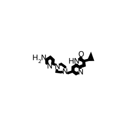 Nc1ccc(N2CCN(Cc3cnc4cc(C5CC5)c(=O)[nH]c4c3)CC2)nc1